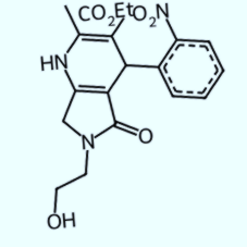 CCOC(=O)C1=C(C)NC2=C(C(=O)N(CCO)C2)C1c1ccccc1[N+](=O)[O-]